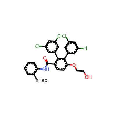 CCCCCCc1ccccc1NC(=O)c1ccc(OCCO)c(-c2cc(Cl)cc(Cl)c2)c1-c1cc(Cl)cc(Cl)c1